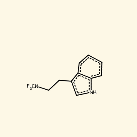 FC(F)(F)NCCc1c[nH]c2ccccc12